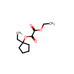 CCOC(=O)C(=O)OC1(CC)CCCC1